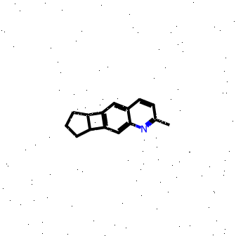 Cc1ccc2cc3c(cc2n1)C1CCCC31